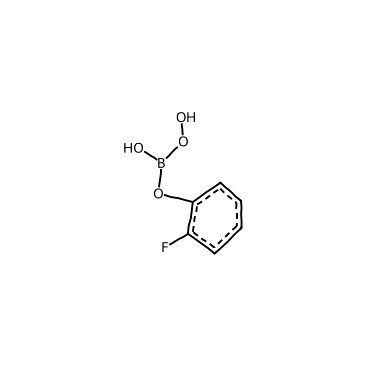 OOB(O)Oc1ccccc1F